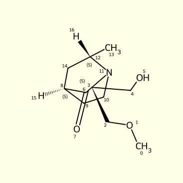 COC[C@@]1(CO)C(=O)[C@H]2CCN1[C@@H](C)C2